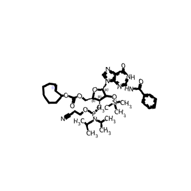 CC(C)N(C(C)C)P(OCCC#N)O[C@H]1C(O[Si](C)(C)C)[C@H](n2cnc3c(=O)[nH]c(NC(=O)c4ccccc4)nc32)O[C@@H]1COC(=O)OC1/C=C/CCCCC1